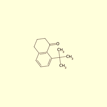 CC(C)(C)c1cccc2c1C(=O)CCC2